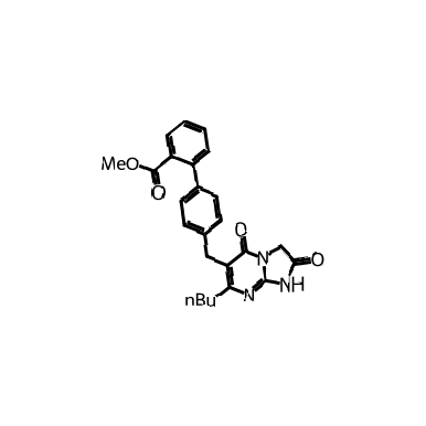 CCCCc1nc2n(c(=O)c1Cc1ccc(-c3ccccc3C(=O)OC)cc1)CC(=O)N2